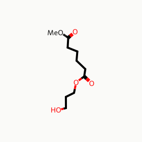 COC(=O)CCCCC(=O)OCCCO